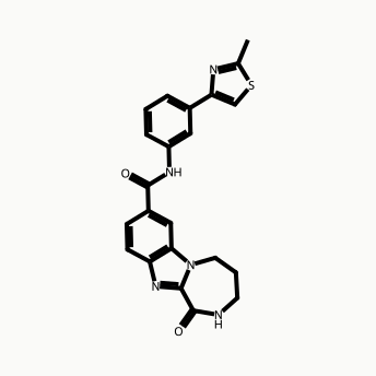 Cc1nc(-c2cccc(NC(=O)c3ccc4nc5n(c4c3)CCCNC5=O)c2)cs1